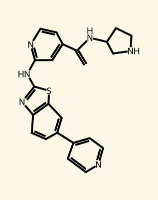 C=C(NC1CCNC1)c1ccnc(Nc2nc3ccc(-c4ccncc4)cc3s2)c1